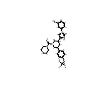 O=C(N1CCOCC1)N1CC(c2ccc(OC(F)(F)F)cc2)CC(c2cn(-c3cccc(F)c3)cn2)C1